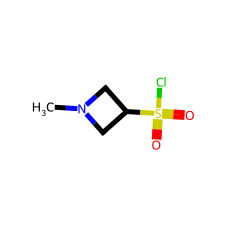 CN1CC(S(=O)(=O)Cl)C1